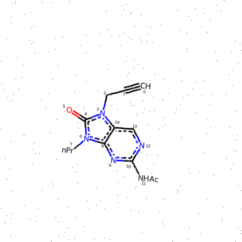 C#CCn1c(=O)n(CCC)c2nc(NC(C)=O)ncc21